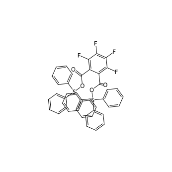 O=C(OS(c1ccccc1)(c1ccccc1)c1ccccc1)c1c(F)c(F)c(F)c(F)c1C(=O)OS(c1ccccc1)(c1ccccc1)c1ccccc1